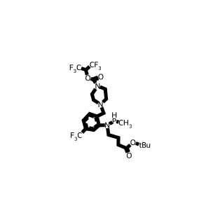 CPN(CCCC(=O)OC(C)(C)C)c1cc(C(F)(F)F)ccc1CN1CCN(C(=O)OC(C(F)(F)F)C(F)(F)F)CC1